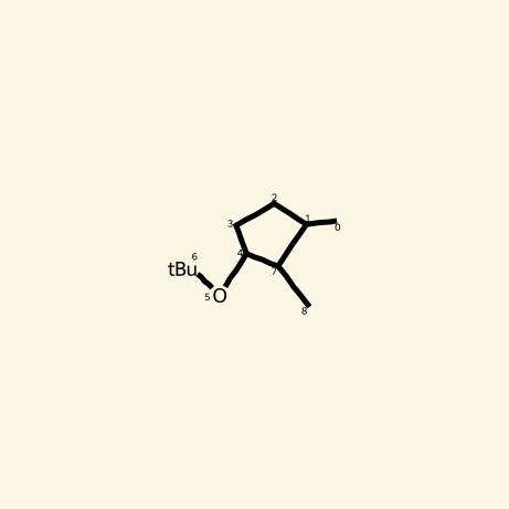 CC1CCC(OC(C)(C)C)C1C